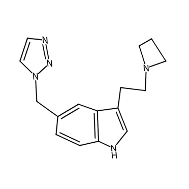 c1cn(Cc2ccc3[nH]cc(CCN4CCC4)c3c2)nn1